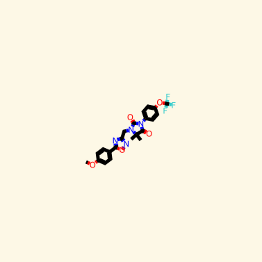 COc1ccc(-c2nc(CN3C(=O)N(c4ccc(OC(F)(F)F)cc4)C(=O)C3(C)C)no2)cc1